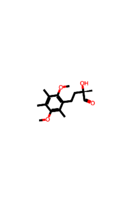 COc1c(C)c(C)c(OC)c(CC[C@](C)(O)C=O)c1C